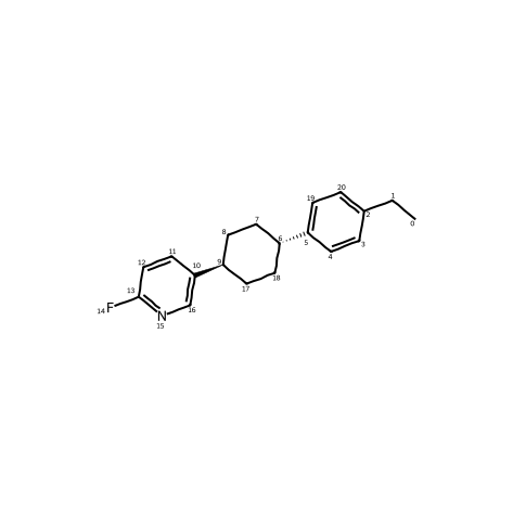 CCc1ccc([C@H]2CC[C@H](c3ccc(F)nc3)CC2)cc1